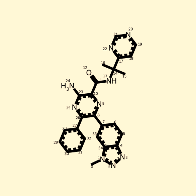 Cn1nnc2ccc(-c3nc(C(=O)NC(C)(C)c4ccncn4)c(N)nc3-c3ccccc3)cc21